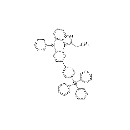 CCc1nc2cccc3c2n1-c1cc(-c2ccc([Si](c4ccccc4)(c4ccccc4)c4ccccc4)cc2)ccc1N3c1ccccc1